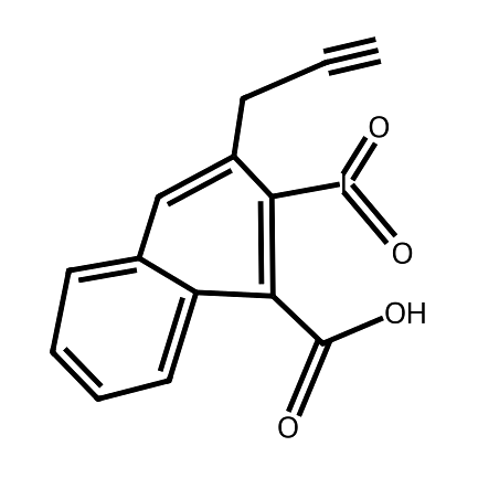 C#CCc1cc2ccccc2c(C(=O)O)c1I(=O)=O